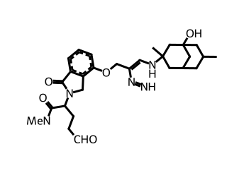 CNC(=O)C(CCC=O)N1Cc2c(OC/C(=C/NC3(C)CC4CC(C)CC(O)(C4)C3)N=N)cccc2C1=O